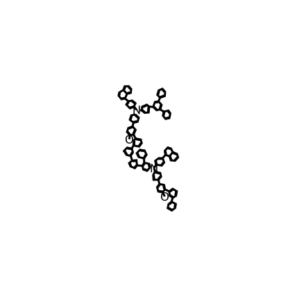 c1ccc(-c2cc(-c3ccccc3)cc(-c3ccc(N(c4ccc(-c5ccc6oc7c(-c8cccc(-c9cccc(-c%10ccc(N(c%11ccc(-c%12ccc%13oc%14c(-c%15ccccc%15)cccc%14c%13c%12)cc%11)c%11ccc(-c%12cccc%13ccccc%12%13)cc%11)cc%10-c%10ccccc%10)c9)c8)cccc7c6c5)cc4)c4ccc(-c5cccc6ccccc56)cc4)cc3)c2)cc1